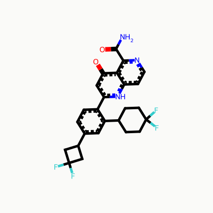 NC(=O)c1nccc2[nH]c(-c3ccc(C4CC(F)(F)C4)cc3C3CCC(F)(F)CC3)cc(=O)c12